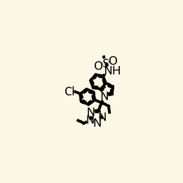 CCn1nnc(C(CC)(c2ccc(Cl)cc2)n2ccc3c(NS(C)(=O)=O)cccc32)n1